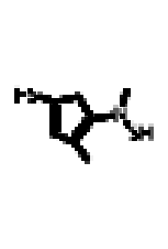 CC1=C(N(C)S)CC(S)=C1